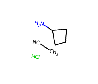 CC#N.Cl.NC1CCC1